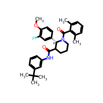 COc1ccc([C@H]2C(C(=O)Nc3cccc(C(C)(C)C)c3)CCCN2C(=O)c2c(C)cccc2C)cc1F